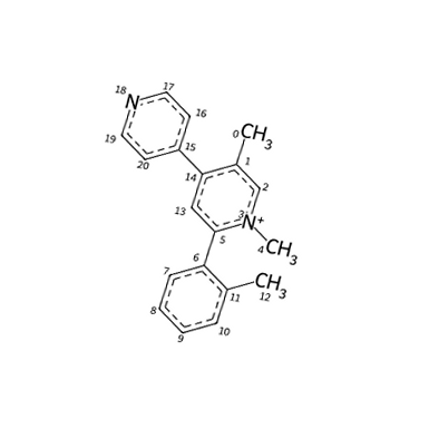 Cc1c[n+](C)c(-c2ccccc2C)cc1-c1ccncc1